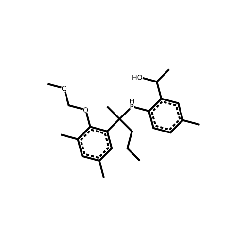 CCCC(C)(Pc1ccc(C)cc1C(C)O)c1cc(C)cc(C)c1OCOC